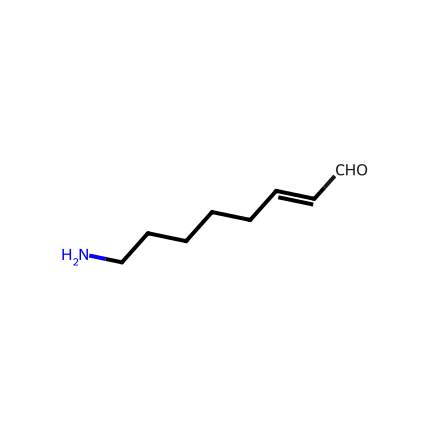 NCCCCC/C=C/C=O